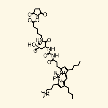 CCCCC1=CC(CCC(=O)NC(=O)NC(CS(=O)(=O)O)C(=O)NCCCCC(=O)ON2C(=O)CCC2=O)=[N+]2C1=Cc1c(CCCC)cc(CCC[N+](C)(C)C)n1[B-]2(F)F